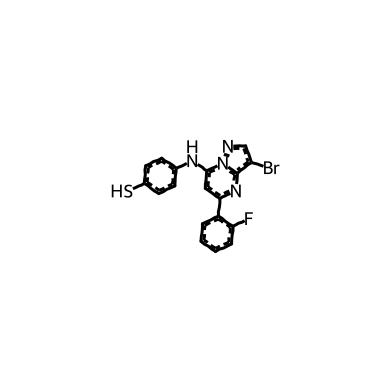 Fc1ccccc1-c1cc(Nc2ccc(S)cc2)n2ncc(Br)c2n1